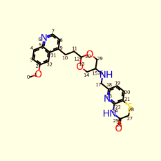 COc1ccc2nccc(CCC3OCC(NCc4ccc5c(n4)NC(=O)CS5)CO3)c2c1